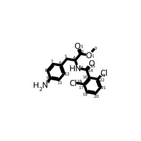 COC(=O)C(Cc1ccc(N)cc1)NC(=O)c1c(Cl)cccc1Cl